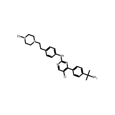 CCN1CCN(CCc2ccc(Nc3ncc(Cl)c(-c4ccc(C(C)(C)N)cc4)n3)cc2)CC1